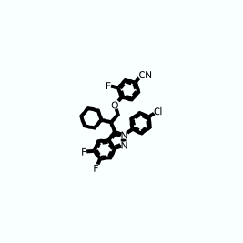 N#Cc1ccc(OCC(c2c3cc(F)c(F)cc3nn2-c2ccc(Cl)cc2)C2CCCCC2)c(F)c1